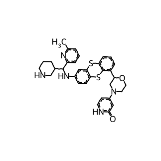 Cc1cccc(C(Nc2ccc3c(c2)Sc2cccc(C4CN(c5cc[nH]c(=O)c5)CCO4)c2S3)C2CCCNC2)n1